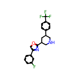 Fc1cccc(-c2coc(C3CNCC(c4ccc(C(F)(F)F)cc4)C3)n2)c1